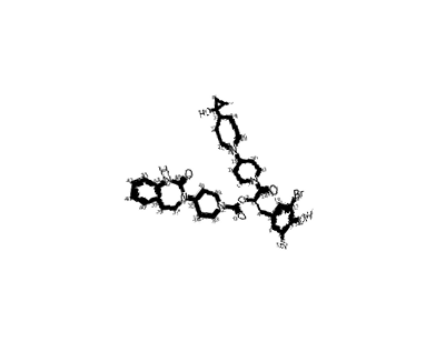 O=C(O[C@H](Cc1cc(Br)c(O)c(Br)c1)C(=O)N1CCC(N2CCC(C3(O)CC3)CC2)CC1)N1CCC(N2CCc3ccccc3NC2=O)CC1